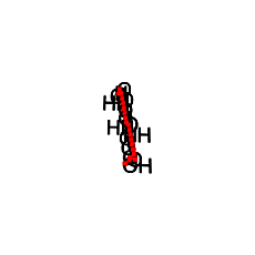 CCC(CO)OC(CCCC(=O)CCCC(=O)NCCNC(=O)CCOCCOCCNC(=O)CCN1C(=O)C=CC1=O)OC